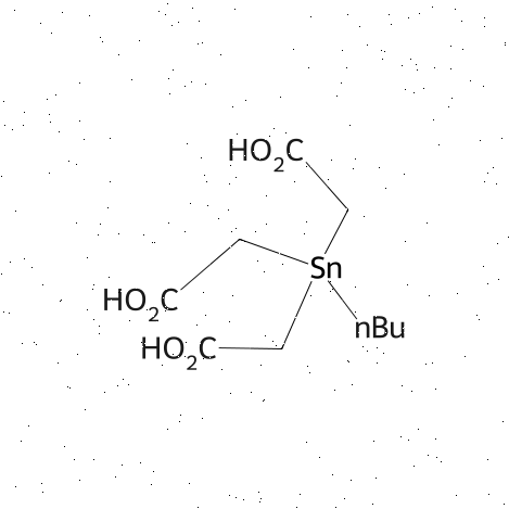 CCC[CH2][Sn]([CH2]C(=O)O)([CH2]C(=O)O)[CH2]C(=O)O